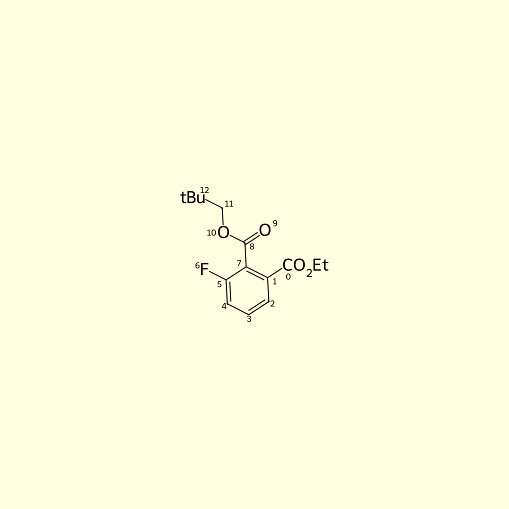 CCOC(=O)c1cccc(F)c1C(=O)OCC(C)(C)C